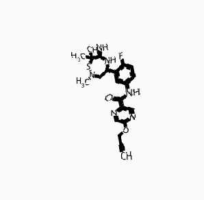 C#CCOc1cnc(C(=O)Nc2ccc(F)c(C3CN(C)SC(C)(C)C(=N)N3)c2)cn1